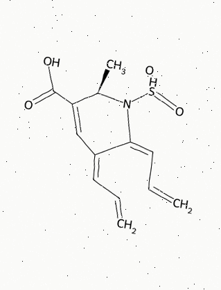 C=C/C=C1/C=C(C(=O)O)[C@@H](C)N([SH](=O)=O)/C1=C/C=C